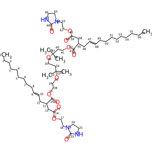 CCCCCCCCC/C=C/CC(CC(=O)OCCN1CCNC1=O)C(=O)OCCOC(C)(C)CCOC(C)(C)CCOC(=O)C(C/C=C/CCCCCCCCC)CC(=O)OCCN1CCNC1=O